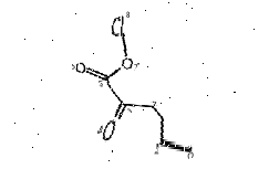 CCCC(=O)C(=O)OCl